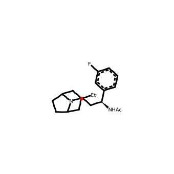 C[CH]C1CC2CCC(C1)N2CC[C@H](NC(C)=O)c1cccc(F)c1